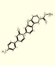 Cc1ccc(-c2ccn(-c3ccc4c5c(oc4c3)CCN(C(=O)OC(C)(C)C)C5)c(=O)c2)cc1